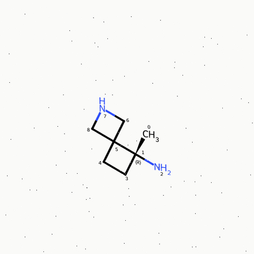 C[C@@]1(N)CCC12CNC2